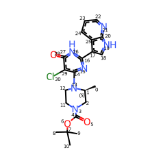 C[C@H]1CN(C(=O)OC(C)(C)C)CCN1c1nc(-c2c[nH]c3ncccc23)[nH]c(=O)c1Cl